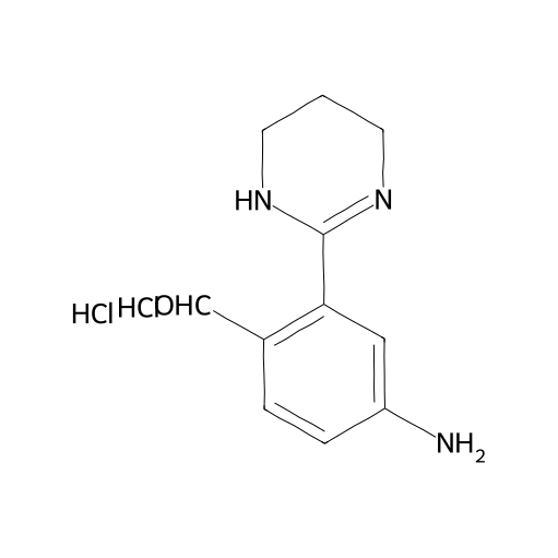 Cl.Cl.Nc1ccc(C=O)c(C2=NCCCN2)c1